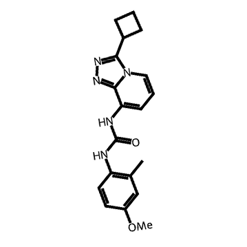 COc1ccc(NC(=O)Nc2cccn3c(C4CCC4)nnc23)c(C)c1